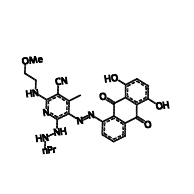 CCCNNc1nc(NCCOC)c(C#N)c(C)c1/N=N/c1cccc2c1C(=O)c1c(O)ccc(O)c1C2=O